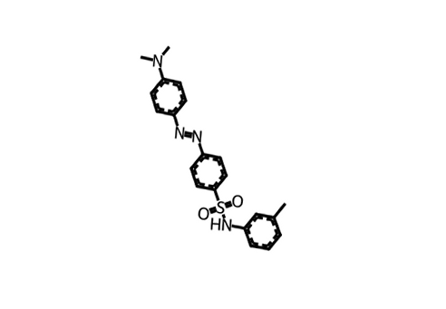 Cc1cccc(NS(=O)(=O)c2ccc(/N=N/c3ccc(N(C)C)cc3)cc2)c1